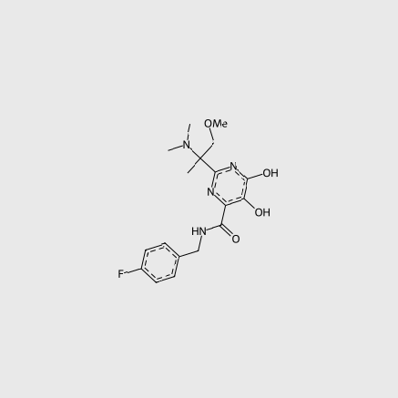 COCC(C)(c1nc(O)c(O)c(C(=O)NCc2ccc(F)cc2)n1)N(C)C